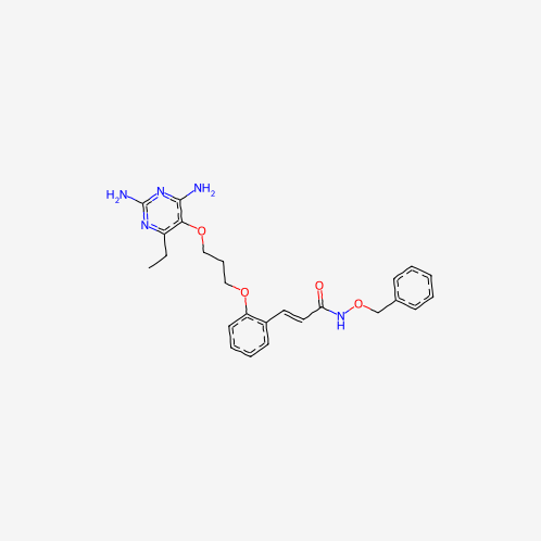 CCc1nc(N)nc(N)c1OCCCOc1ccccc1C=CC(=O)NOCc1ccccc1